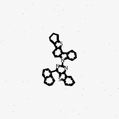 C1=c2sc3c(ccc4c3c3ccccc3n4-c3nc(-c4cccc5ccccc45)c4sc5ccccc5c4n3)c2=CCC1